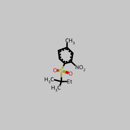 CCC(C)(C)S(=O)(=O)c1ccc(C)cc1[N+](=O)[O-]